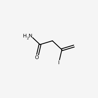 C=C(I)CC(N)=O